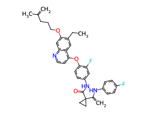 C=C(C)CCCOc1cc2nccc(Oc3ccc(NC(=O)C4(C(=C)Nc5ccc(F)cc5)CC4)cc3F)c2cc1CC